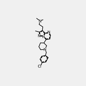 Cc1nn2c(C3CCCN(Cc4ccc(Cl)cc4)C3)ccnc2c1CCN(C)C